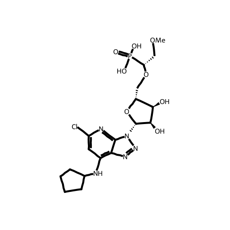 COC[C@H](OC[C@H]1O[C@@H](n2nnc3c(NC4CCCC4)cc(Cl)nc32)[C@H](O)[C@@H]1O)P(=O)(O)O